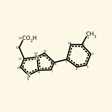 Cc1cccc(-c2cc3scc(CC(=O)O)n3c2)c1